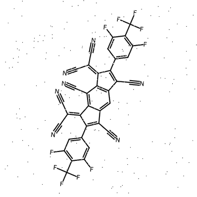 N#CC(C#N)=C1C(c2cc(F)c(C(F)(F)F)c(F)c2)=C(C#N)c2cc3c(c(C#N)c21)C(=C(C#N)C#N)C(c1cc(F)c(C(F)(F)F)c(F)c1)=C3C#N